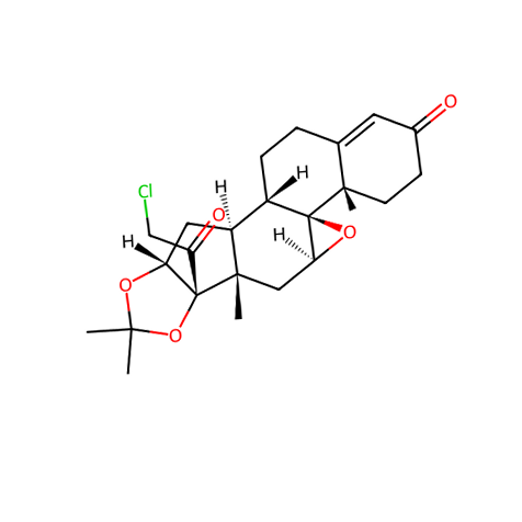 CC1(C)O[C@@H]2C[C@H]3[C@@H]4CCC5=CC(=O)CC[C@]5(C)[C@@]45O[C@H]5C[C@]3(C)[C@]2(C(=O)CCl)O1